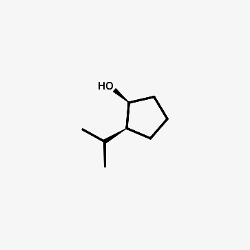 CC(C)[C@@H]1CCC[C@@H]1O